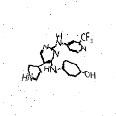 O[C@H]1CC[C@H](Nc2nc(Nc3ccnc(C(F)(F)F)c3)ncc2C2CCNCC2)CC1